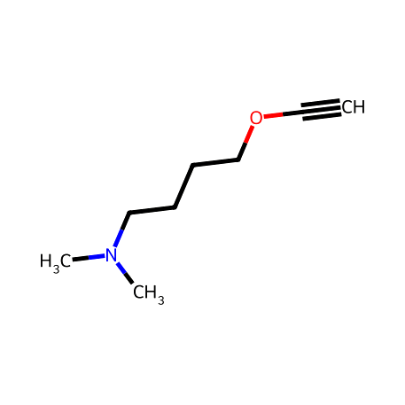 C#COCCCCN(C)C